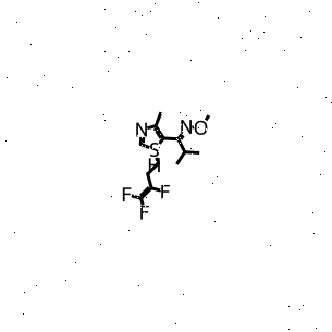 CON=C(C1=C(C)N=C[SH]1CCC(F)=C(F)F)C(C)C